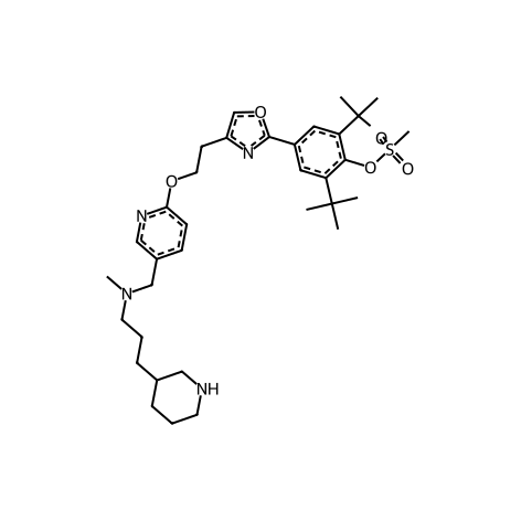 CN(CCCC1CCCNC1)Cc1ccc(OCCc2coc(-c3cc(C(C)(C)C)c(OS(C)(=O)=O)c(C(C)(C)C)c3)n2)nc1